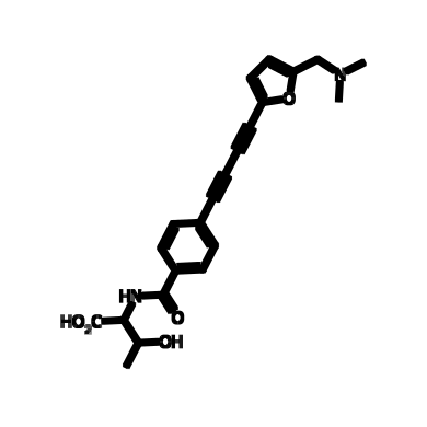 CC(O)C(NC(=O)c1ccc(C#CC#Cc2ccc(CN(C)C)o2)cc1)C(=O)O